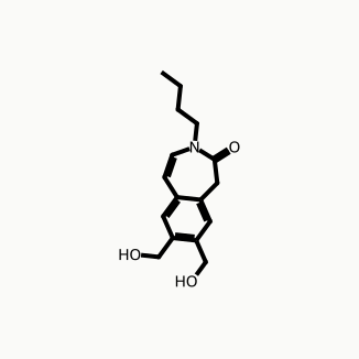 CCCCN1C=Cc2cc(CO)c(CO)cc2CC1=O